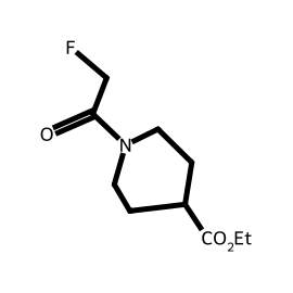 CCOC(=O)C1CCN(C(=O)CF)CC1